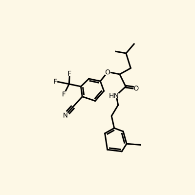 Cc1cccc(CCNC(=O)C(CC(C)C)Oc2ccc(C#N)c(C(F)(F)F)c2)c1